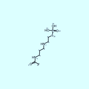 O=C(F)NCCCNCCSP(=O)(O)O